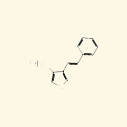 O=Cc1cscc1C=Cc1ccccc1